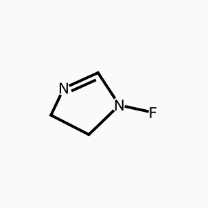 FN1C=NCC1